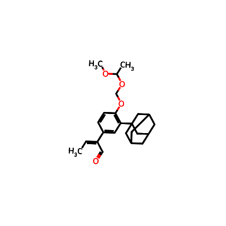 CC=C(C=O)c1ccc(OCOC(C)OC)c(C23CC4CC(CC(C4)C2)C3)c1